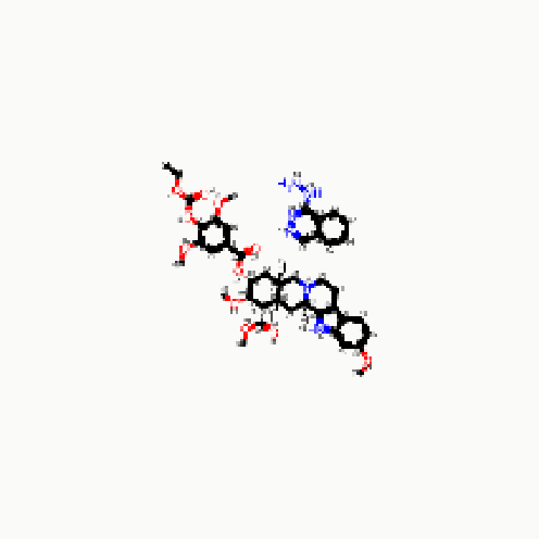 CCOC(=O)Oc1c(OC)cc(C(=O)O[C@@H]2C[C@@H]3CN4CCc5c([nH]c6cc(OC)ccc56)[C@H]4C[C@@H]3[C@H](C(=O)OC)[C@H]2OC)cc1OC.NNc1nncc2ccccc12